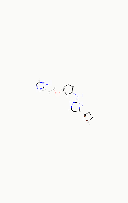 c1cc(Nc2nccc(-c3cccs3)n2)cc(OCCc2ncc[nH]2)c1